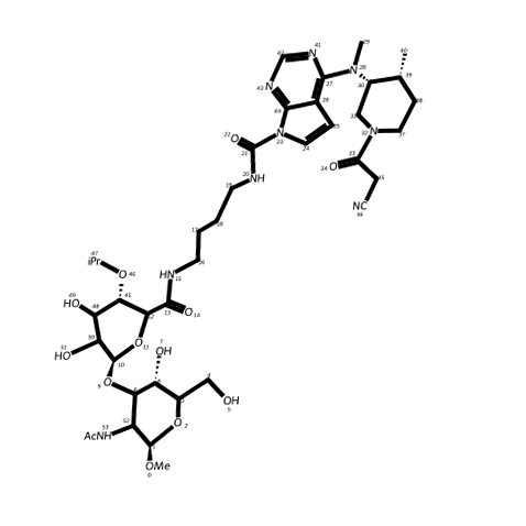 CO[C@@H]1OC(CO)[C@@H](O)C(O[C@@H]2OC(C(=O)NCCCCNC(=O)n3ccc4c(N(C)[C@H]5CN(C(=O)CC#N)CC[C@H]5C)ncnc43)[C@@H](OC(C)C)C(O)C2O)C1NC(C)=O